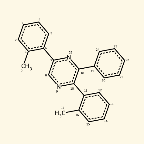 Cc1ccccc1-c1cnc(-c2ccccc2C)c(-c2ccccc2)n1